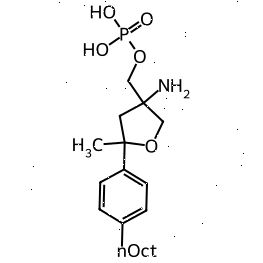 CCCCCCCCc1ccc(C2(C)CC(N)(COP(=O)(O)O)CO2)cc1